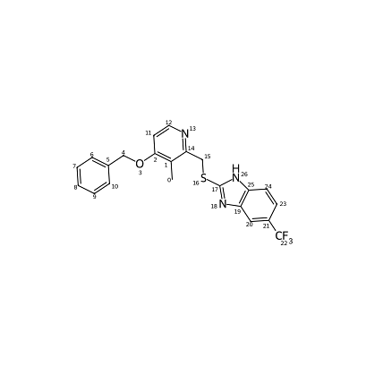 Cc1c(OCc2ccccc2)ccnc1CSc1nc2cc(C(F)(F)F)ccc2[nH]1